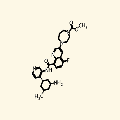 COC(=O)N1CCCN(c2cnc3c(C(=O)Nc4cnccc4[C@@H]4C[C@H](C)C[C@H](N)C4)ccc(F)c3c2)CC1